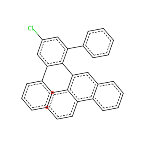 Clc1cc(-c2ccccc2)c(-c2cc3ccccc3c3ccccc23)c(-c2ccccc2)c1